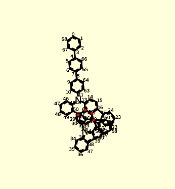 c1ccc(-c2ccc(-c3ccc(N(c4ccc5c(c4)C4(c6ccccc6-5)c5ccccc5-n5c6ccccc6c6cccc4c65)c4ccccc4-c4ccc(-c5ccccc5)cc4)cc3)cc2)cc1